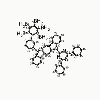 Bc1c(B)c(B)c(-c2cccc(-n3c4ccccc4c4cc5c(cc43)c3ccccc3n5-c3nc(-c4ccccc4)nc(-c4ccccc4)n3)c2)c(B)c1B